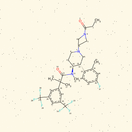 CCC(=O)N1CC(N2CC[C@H](N(C)C(=O)C(C)(C)c3cc(C(F)(F)F)cc(C(F)(F)F)c3)[C@@H](c3ccc(F)cc3C)C2)C1